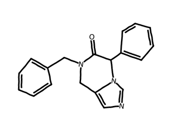 O=C1C(c2ccccc2)n2cncc2CN1Cc1ccccc1